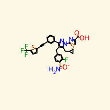 N[S+]([O-])c1ccc(Cc2c(-c3cccc(C#Cc4ccc(C(F)(F)F)s4)c3)nn(-c3nc(C(=O)O)cs3)c2CC2CC2)cc1F